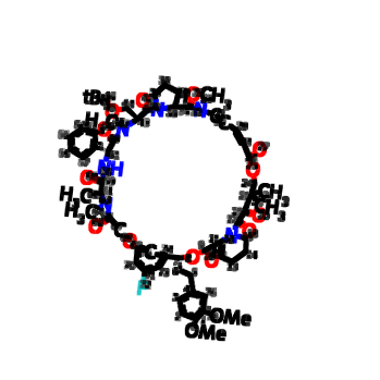 COc1ccc(CC[C@H]2OC(=O)[C@@H]3CCCCN3C(=O)C(=O)C(C)(C)COC(=O)/C=C/CCN(C)C(=O)[C@@H]3CCCN3C(=O)[C@H](COC(C)(C)C)N(C)C(=O)[C@@H](c3ccccc3)NC(=O)[C@H](C)N(C)C(=O)COc3cc(F)cc2c3)cc1OC